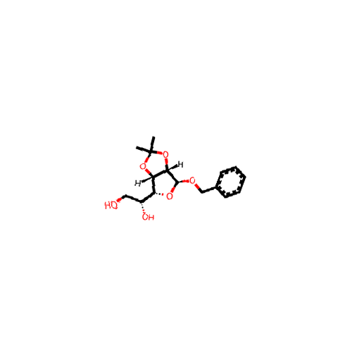 CC1(C)O[C@@H]2[C@H](O1)[C@@H](OCc1ccccc1)O[C@@H]2[C@H](O)CO